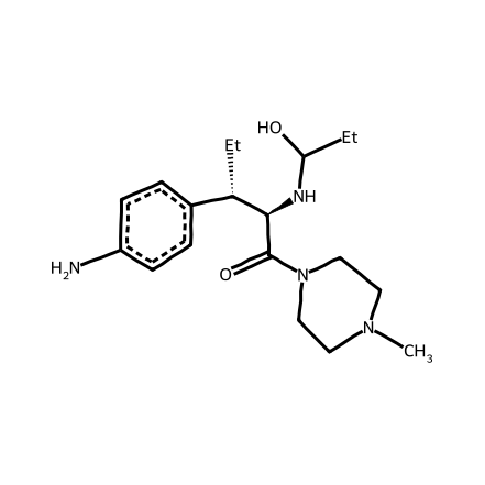 CCC(O)N[C@@H](C(=O)N1CCN(C)CC1)[C@@H](CC)c1ccc(N)cc1